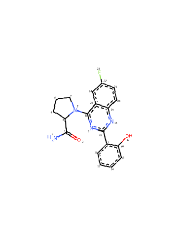 NC(=O)C1CCCN1c1nc(-c2ccccc2O)nc2ccc(F)cc12